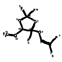 FC(F)=COC1(F)OC(F)(F)OC1OC(F)(F)F